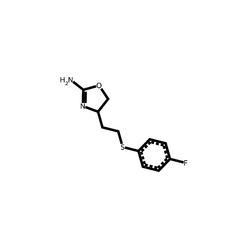 NC1=NC(CCSc2ccc(F)cc2)CO1